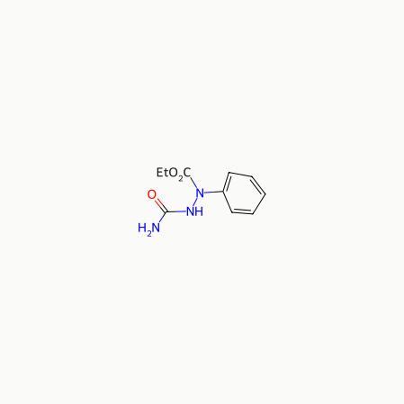 CCOC(=O)N(NC(N)=O)c1ccccc1